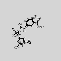 CNC(=O)c1cc(NC(=O)[C@@H]2[C@@H](c3cc(Cl)cc(Cl)c3)C2(Cl)Cl)ccc1C(F)(F)F